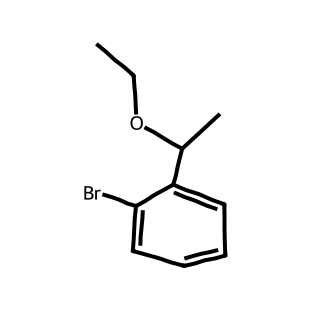 CCOC(C)c1ccccc1Br